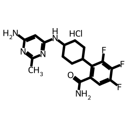 Cc1nc(N)cc(NC2CCC(c3c(C(N)=O)cc(F)c(F)c3F)CC2)n1.Cl